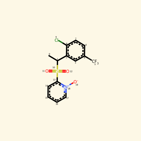 CC(c1cc(C(F)(F)F)ccc1Cl)S(=O)(=O)c1cccc[n+]1[O-]